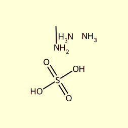 CN.N.N.O=S(=O)(O)O